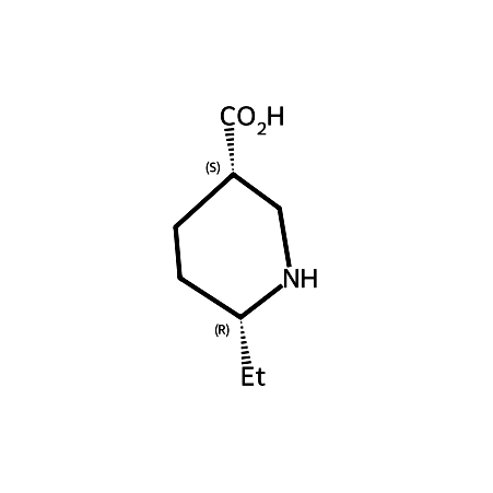 CC[C@@H]1CC[C@H](C(=O)O)CN1